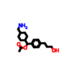 CC(=O)OC(c1ccc(CCCO)cc1)C1CCC(CN)CC1